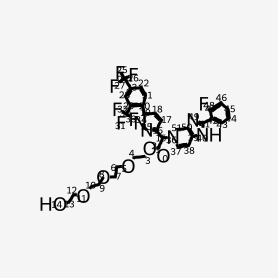 O=C(OCCOCCOCCOCCO)C(c1ccc(-c2ccc(C(F)(F)F)cc2C(F)(F)F)nn1)N1C=Cc2[nH]c(-c3ccccc3F)nc2C1